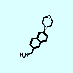 NCc1ccc2cc(N3CCOCC3)ccc2c1